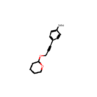 CSc1ccc(C#CCOC2CCCCO2)cc1